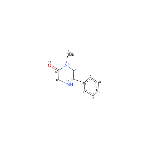 CCCCN1CC(c2ccccc2)NCC1=O